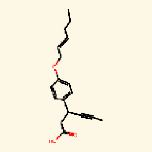 CC#CC(CC(=O)O)c1ccc(OC/C=C/CCC)cc1